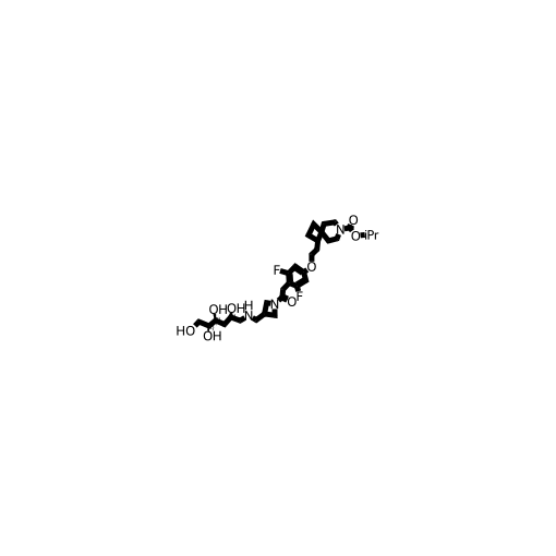 CC(C)OC(=O)N1CCC2(CCC2CCOc2cc(F)c(CC(=O)N3CC(CNC[C@H](O)C[C@H](O)[C@H](O)CO)C3)c(F)c2)CC1